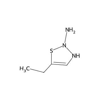 CCC1=CNN(N)S1